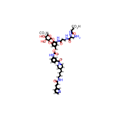 NCC(NC(=O)CCC(=O)O)C(=O)NCCC(=O)Nc1cc(COC(=O)Nc2cccc(C(=O)N3CCC(CCCCNC(=O)/C=C/c4cccnc4)CC3)c2)ccc1OC1OC(C(=O)O)C(O)C(O)C1O